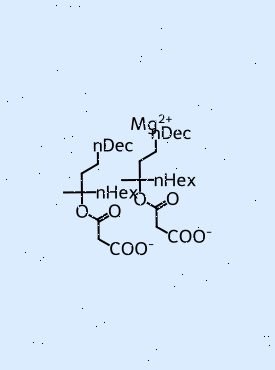 CCCCCCCCCCCCC(C)(CCCCCC)OC(=O)CC(=O)[O-].CCCCCCCCCCCCC(C)(CCCCCC)OC(=O)CC(=O)[O-].[Mg+2]